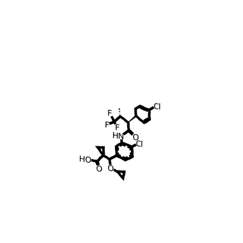 C[C@H]([C@H](C(=O)Nc1cc(C(OC2CC2)C2(C(=O)O)CC2)ccc1Cl)C1C=CC(Cl)=CC1)C(F)(F)F